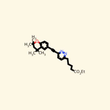 CCOC(=O)CCCCc1ccc(C#Cc2ccc3c(c2)C(C)(C)CC(C)(C)O3)nn1